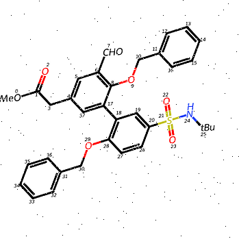 COC(=O)Cc1cc(C=O)c(OCc2ccccc2)c(-c2cc(S(=O)(=O)NC(C)(C)C)ccc2OCc2ccccc2)c1